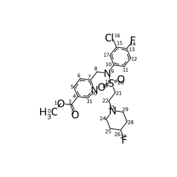 COC(=O)c1ccc(CN(c2ccc(F)c(Cl)c2)S(=O)(=O)CCN2CCC(F)CC2)nc1